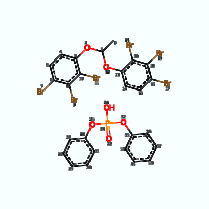 CC(Oc1ccc(Br)c(Br)c1Br)Oc1ccc(Br)c(Br)c1Br.O=P(O)(Oc1ccccc1)Oc1ccccc1